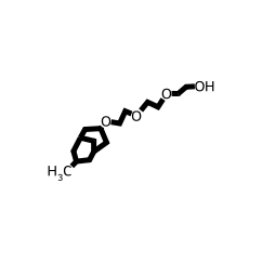 CC1CC2CC(C1)CC(OCCOCCOCCO)C2